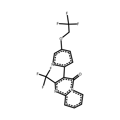 O=c1c(-c2ccc(OCC(F)(F)F)cn2)c(C(F)(F)F)nc2ccccn12